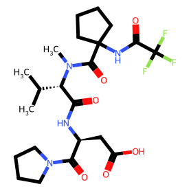 CC(C)[C@@H](C(=O)N[C@@H](CC(=O)O)C(=O)N1CCCC1)N(C)C(=O)C1(NC(=O)C(F)(F)F)CCCC1